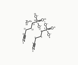 N#CCCCP(=O)([O-])[O-].N#CCCCP(=O)([O-])[O-].[Zr+4]